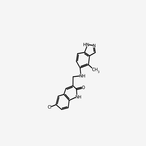 Cc1c(NCc2cc3cc(Cl)ccc3[nH]c2=O)ccc2[nH]ncc12